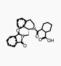 O=C(O)C1CCCCC1C(=O)N1CCc2ccccc2[C@H]1CN1C(=O)c2ccccc2C1=O